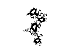 Cc1cccc(C(=O)Nc2cc(Sc3ccc(O)c(NC(=O)c4cccc(C)c4)c3)ccc2O)c1